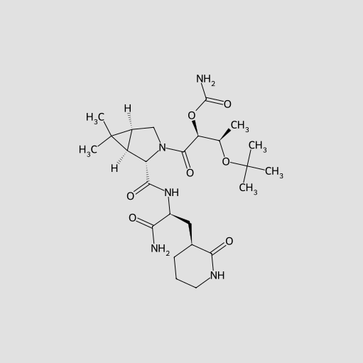 C[C@@H](OC(C)(C)C)[C@H](OC(N)=O)C(=O)N1C[C@H]2[C@@H]([C@H]1C(=O)N[C@@H](C[C@@H]1CCCNC1=O)C(N)=O)C2(C)C